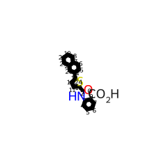 O=C(Nc1ccccc1C(=O)O)c1ccc(-c2ccc3ccccc3c2)s1